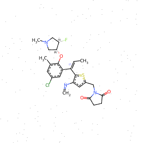 C=Nc1cc(CN2C(=O)CCC2=O)sc1/C(=C\C)c1cc(Cl)cc(C)c1O[C@@H]1CN(C)C[C@@H]1F